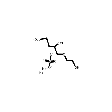 CCCCCCCCCCCCC(O)COCCO.O=S(=O)([O-])[O-].[Na+].[Na+]